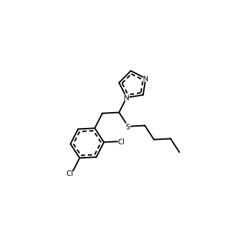 CCCCSC(Cc1ccc(Cl)cc1Cl)n1ccnc1